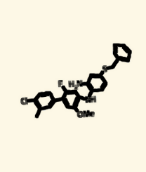 COc1cc(-c2ccc(Cl)c(C)c2)c(F)cc1Nc1ccc(SCc2ccccc2)cc1N